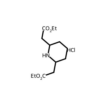 CCOC(=O)CC1CCCC(CC(=O)OCC)N1.Cl